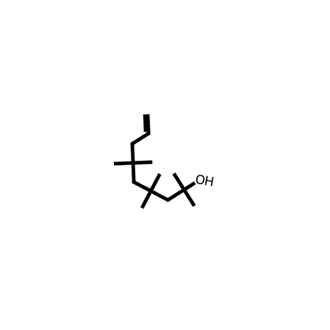 C=CCC(C)(C)CC(C)(C)CC(C)(C)O